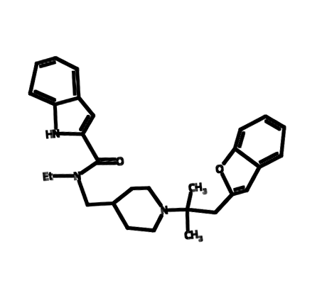 CCN(CC1CCN(C(C)(C)Cc2cc3ccccc3o2)CC1)C(=O)c1cc2ccccc2[nH]1